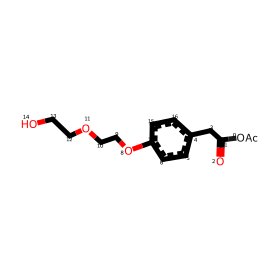 CC(=O)OC(=O)Cc1ccc(OCCOCCO)cc1